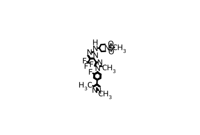 Cc1nn(C)cc1-c1ccc(-n2cc(-c3nc(NC4CCN(S(C)(=O)=O)CC4)ncc3C(F)(F)F)nc2C)c(F)c1